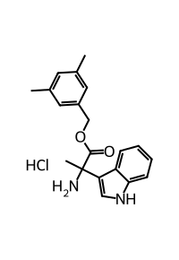 Cc1cc(C)cc(COC(=O)C(C)(N)c2c[nH]c3ccccc23)c1.Cl